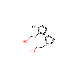 OCC[c-]1cccc1.OCC[c-]1cccc1.[Fe+2]